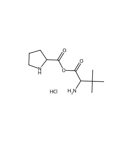 CC(C)(C)C(N)C(=O)OC(=O)C1CCCN1.Cl